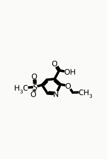 CCOc1ncc(S(C)(=O)=O)cc1C(=O)O